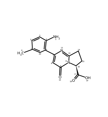 Cc1ccc(N)c(-c2cc(=O)n3c(n2)CC[C@H]3C(=O)O)c1